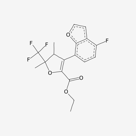 CCOC(=O)C1=C(c2ccc(F)c3ccoc23)C(C)C(C)(C(F)(F)F)O1